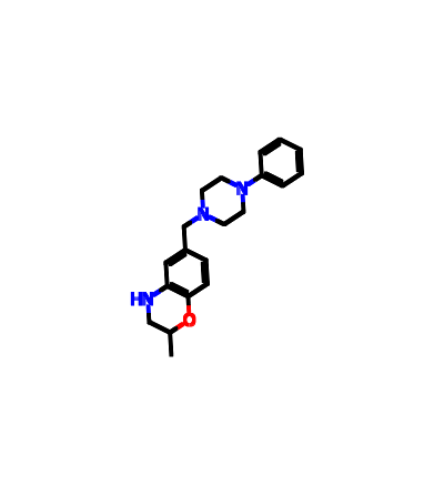 CC1CNc2cc(CN3CCN(c4ccccc4)CC3)ccc2O1